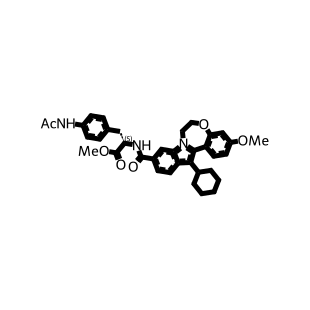 COC(=O)[C@H](Cc1ccc(NC(C)=O)cc1)NC(=O)c1ccc2c(C3CCCCC3)c3n(c2c1)CCOc1cc(OC)ccc1-3